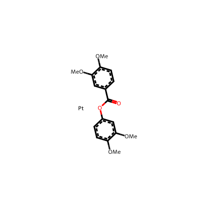 COc1ccc(OC(=O)c2ccc(OC)c(OC)c2)cc1OC.[Pt]